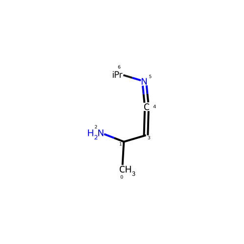 CC(N)C=C=NC(C)C